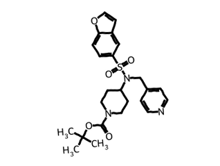 CC(C)(C)OC(=O)N1CCC(N(Cc2ccncc2)S(=O)(=O)c2ccc3occc3c2)CC1